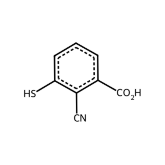 N#Cc1c(S)cccc1C(=O)O